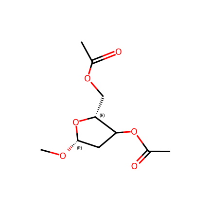 CO[C@H]1CC(OC(C)=O)[C@@H](COC(C)=O)O1